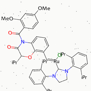 COc1ccc(C(=O)N2C(=O)C(C(C)C)Oc3c([CH]=[Ru]([Cl])[CH]4N(c5c(C(C)C)cccc5C(C)C)CCN4c4c(C(C)C)cccc4C(C)C)cccc32)c(OC)c1